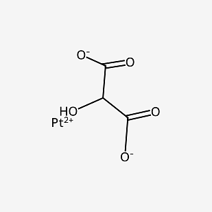 O=C([O-])C(O)C(=O)[O-].[Pt+2]